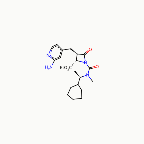 CCOC(=O)[C@@H]1[C@@H](Cc2ccnc(N)c2)C(=O)N1C(=O)N(C)[C@H](C)C1CCCCC1